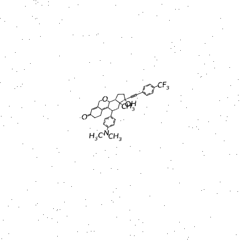 CN(C)c1ccc(C2CC3(C)C(CCC3(O)C#Cc3ccc(C(F)(F)F)cc3)C3OCC4=CC(=O)CCC4=C23)cc1